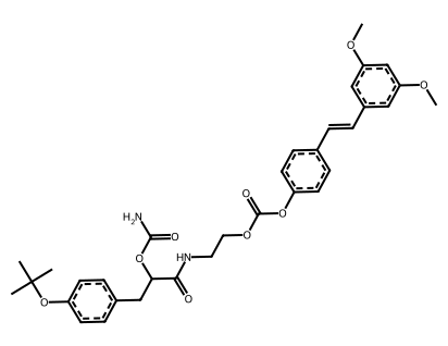 COc1cc(C=Cc2ccc(OC(=O)OCCNC(=O)C(Cc3ccc(OC(C)(C)C)cc3)OC(N)=O)cc2)cc(OC)c1